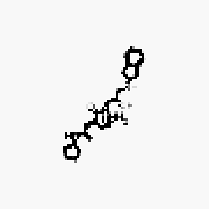 CC(/C=C(\C=C/N)C(=O)NCC(O)CNC1Cc2ccccc2C1)NC1CCCC1